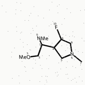 CNC(COC)C1CN(C)CC1F